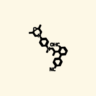 CC1CN(c2ccc(N(C)CC(C)c3c(C=O)cccc3-c3ccc(C#N)cc3)cc2)CC(C)O1